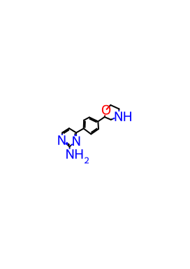 Nc1nccc(-c2ccc(C3CNCCO3)cc2)n1